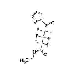 CCOC(=O)C(F)(F)C(F)(F)C(F)(F)C(=O)c1ccco1